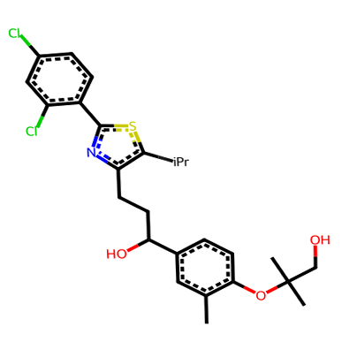 Cc1cc(C(O)CCc2nc(-c3ccc(Cl)cc3Cl)sc2C(C)C)ccc1OC(C)(C)CO